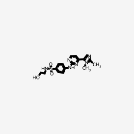 Cc1ncc(-c2ccnc(Nc3ccc(S(=O)(=O)NCCO)cc3)n2)n1C